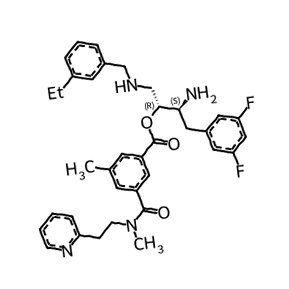 CCc1cccc(CNC[C@@H](OC(=O)c2cc(C)cc(C(=O)N(C)CCc3ccccn3)c2)[C@@H](N)Cc2cc(F)cc(F)c2)c1